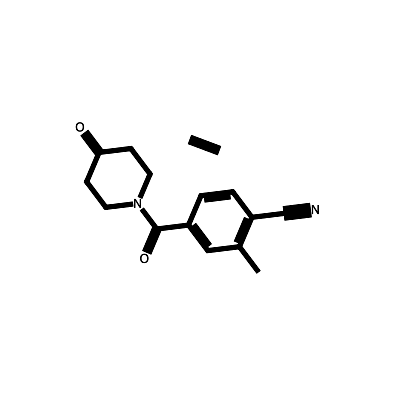 C=C.Cc1cc(C(=O)N2CCC(=O)CC2)ccc1C#N